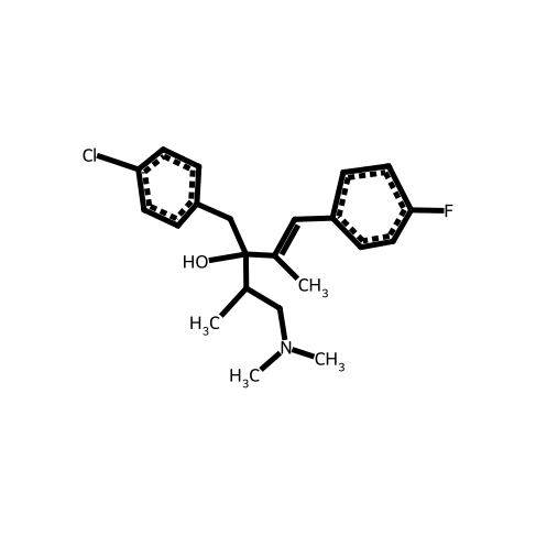 CC(=Cc1ccc(F)cc1)C(O)(Cc1ccc(Cl)cc1)C(C)CN(C)C